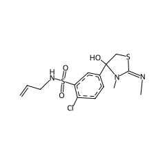 C=CCNS(=O)(=O)c1cc(C2(O)CSC(=NC)N2C)ccc1Cl